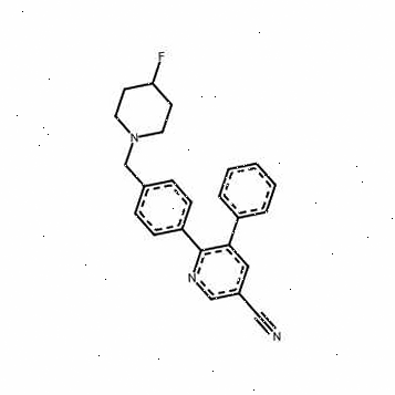 N#Cc1cnc(-c2ccc(CN3CCC(F)CC3)cc2)c(-c2ccccc2)c1